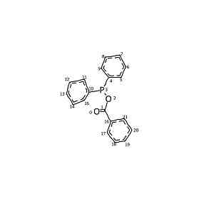 O=C(OP(c1ccccc1)c1ccccc1)c1ccccc1